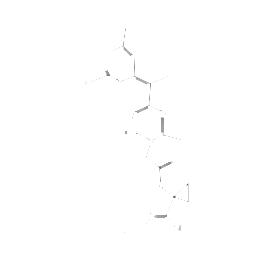 CC/C=C(\N=C(\C)N(CC(=O)NC1(/C(N)=N/C(=O)O)CC1)C(C)CC)C(/C)=C(/C=C(C)C)NC(=O)C(C)(C)C